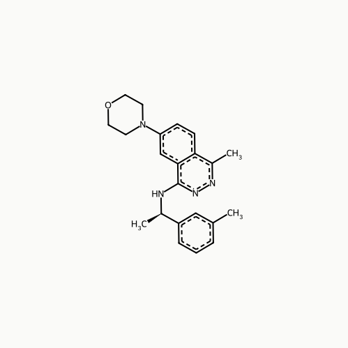 Cc1cccc([C@@H](C)Nc2nnc(C)c3ccc(N4CCOCC4)cc23)c1